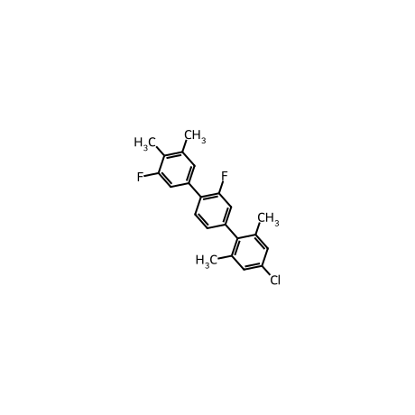 Cc1cc(-c2ccc(-c3c(C)cc(Cl)cc3C)cc2F)cc(F)c1C